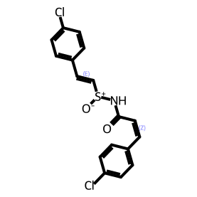 O=C(/C=C\c1ccc(Cl)cc1)N[S+]([O-])/C=C/c1ccc(Cl)cc1